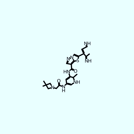 CC(=N)/C(=C\C=N)c1cn2ncc(C(=O)NC3=CC(NC(=O)CN4CC(C)(C)C4)=CNC3C)c2s1